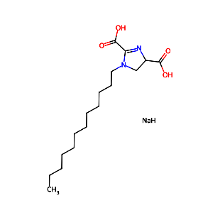 CCCCCCCCCCCCN1CC(C(=O)O)N=C1C(=O)O.[NaH]